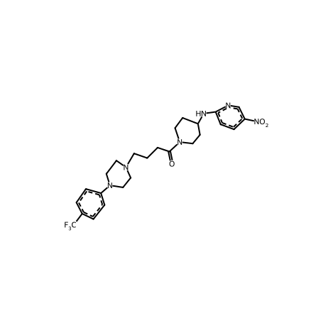 O=C(CCCN1CCN(c2ccc(C(F)(F)F)cc2)CC1)N1CCC(Nc2ccc([N+](=O)[O-])cn2)CC1